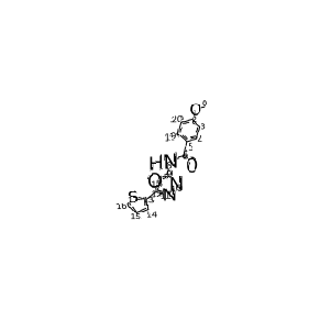 COc1ccc(C(=O)Nc2nnc(-c3cccs3)o2)cc1